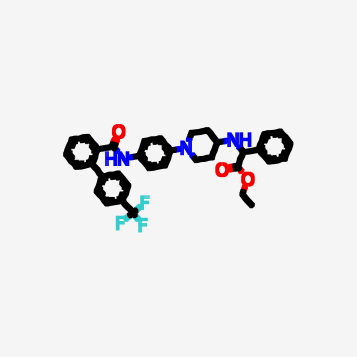 CCOC(=O)C(NC1CCN(c2ccc(NC(=O)c3ccccc3-c3ccc(C(F)(F)F)cc3)cc2)CC1)c1ccccc1